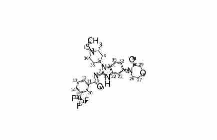 CSN1CCC(n2/c(=N/C(=O)c3cccc(C(F)(F)F)c3)[nH]c3cc(N4CCOCC4=O)ccc32)CC1